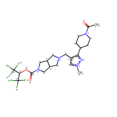 CC(=O)N1CCC(c2nn(C)cc2CN2CC3CN(C(=O)OC(C(F)(F)F)C(F)(F)F)CC3C2)CC1